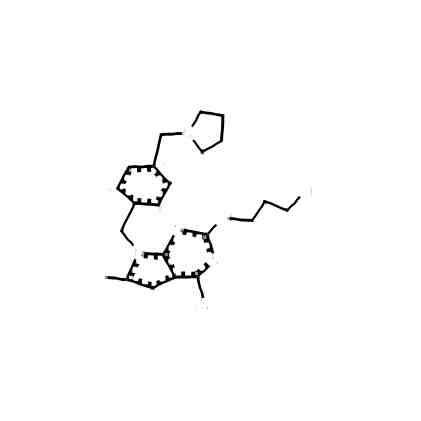 CCCCOc1nc(N)c2cc(Cl)n(Cc3ccc(CN4CCCC4)cc3)c2n1